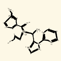 CC(c1ncnn1-c1ncccn1)N(CCF)C(=O)c1cncc(C(F)(F)F)c1